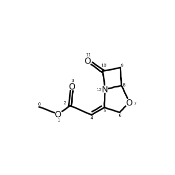 COC(=O)/C=C1/COC2CC(=O)N12